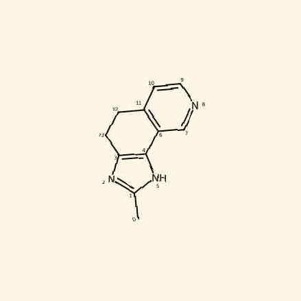 Cc1nc2c([nH]1)-c1cnccc1CC2